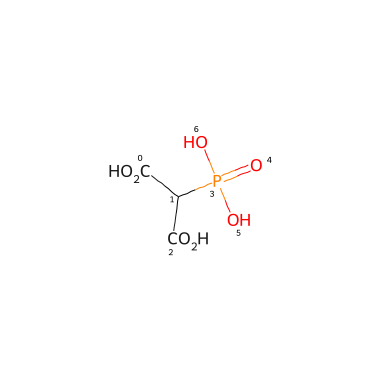 O=C(O)C(C(=O)O)P(=O)(O)O